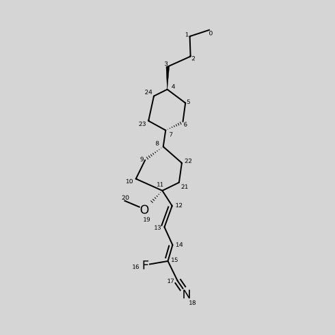 CCCC[C@H]1CC[C@H]([C@H]2CC[C@@](C=CC=C(F)C#N)(OC)CC2)CC1